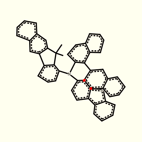 CC1(C)c2cc3ccccc3cc2-c2cccc(N(c3ccc4c(c3)oc3ccccc34)c3ccc4ccccc4c3-c3ccc4ccccc4c3)c21